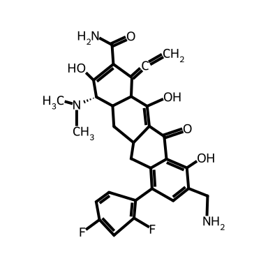 C=C=C1C(C(N)=O)=C(O)[C@@H](N(C)C)C2CC3Cc4c(-c5ccc(F)cc5F)cc(CN)c(O)c4C(=O)C3=C(O)C12